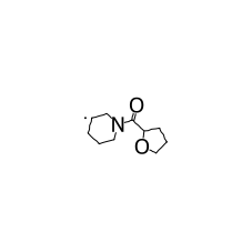 O=C(C1CCCO1)N1C[CH]CCC1